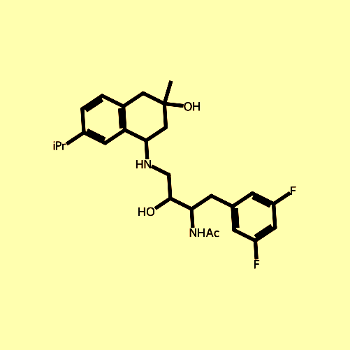 CC(=O)NC(Cc1cc(F)cc(F)c1)C(O)CNC1CC(C)(O)Cc2ccc(C(C)C)cc21